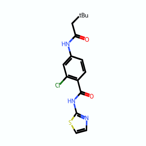 CC(C)(C)CC(=O)Nc1ccc(C(=O)Nc2nccs2)c(Cl)c1